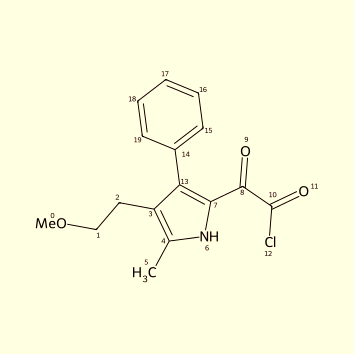 COCCc1c(C)[nH]c(C(=O)C(=O)Cl)c1-c1ccccc1